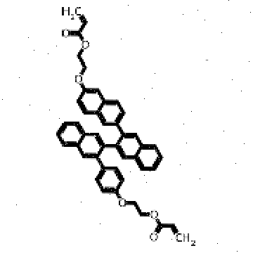 C=CC(=O)OCCOc1ccc(-c2cc3ccccc3cc2-c2cc3ccccc3cc2-c2ccc3cc(OCCOC(=O)C=C)ccc3c2)cc1